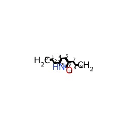 C=CCc1ccc(CC=C)c(=O)[nH]1